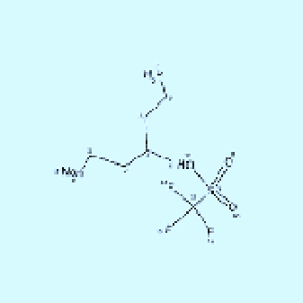 CCCCCCCCCCCC(C)CCP.O=S(=O)(O)C(F)(F)F